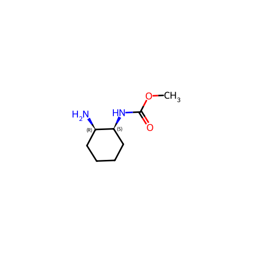 COC(=O)N[C@H]1CCCC[C@H]1N